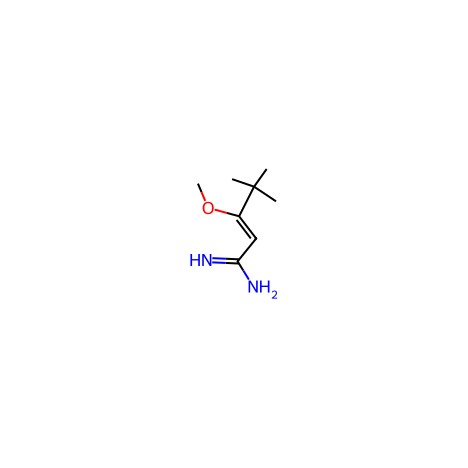 CO/C(=C\C(=N)N)C(C)(C)C